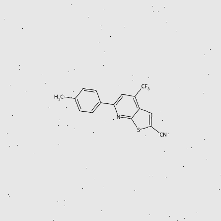 Cc1ccc(-c2cc(C(F)(F)F)c3cc(C#N)sc3n2)cc1